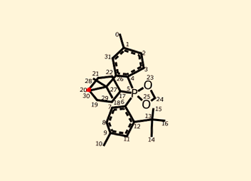 Cc1ccc(P2(c3ccc(C)cc3C(C)(C)C)(C3CCCCC3)OCO2)c(C(C)(C)C)c1